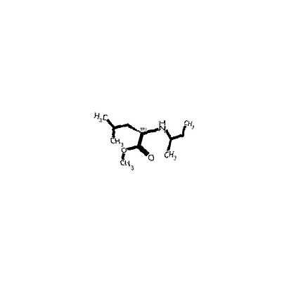 CCC(C)N[C@H](CC(C)C)C(=O)OC